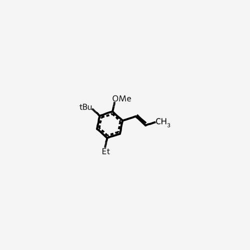 CC=Cc1cc(CC)cc(C(C)(C)C)c1OC